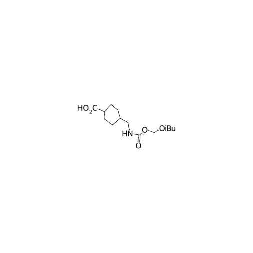 CC(C)COCOC(=O)NCC1CCC(C(=O)O)CC1